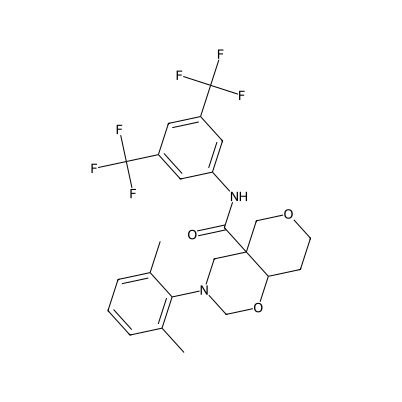 Cc1cccc(C)c1N1COC2CCOCC2(C(=O)Nc2cc(C(F)(F)F)cc(C(F)(F)F)c2)C1